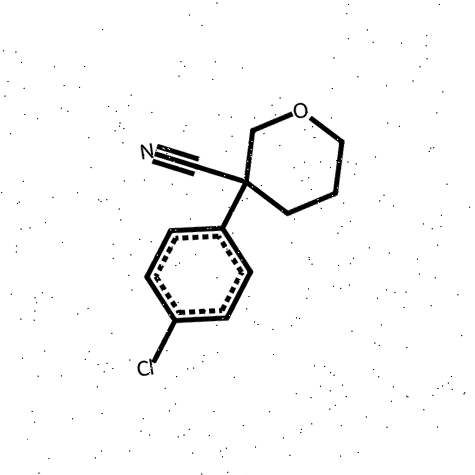 N#CC1(c2ccc(Cl)cc2)CCCOC1